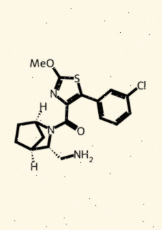 COc1nc(C(=O)N2[C@@H]3CC[C@@H](C3)[C@H]2CN)c(-c2cccc(Cl)c2)s1